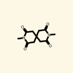 CN1C(=O)CC2(CC1=O)CC(=O)N(C)C(=O)C2